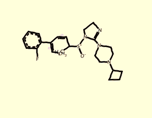 C/C=C(\C=C/C(C)[S+]([O-])N1CCN=C1N1CCN(C2CCC2)CC1)c1ccccc1F